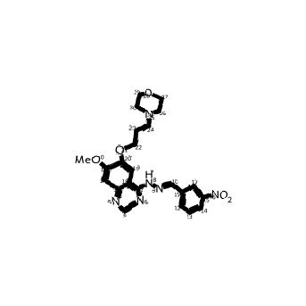 COc1cc2ncnc(NN=Cc3cccc([N+](=O)[O-])c3)c2cc1OCCCN1CCOCC1